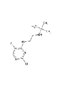 CC(C)(C)NCCNc1nc(Cl)ncc1F